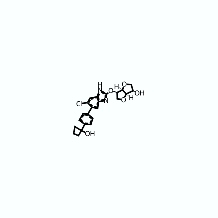 O[C@@H]1CO[C@H]2[C@@H]1OC[C@H]2Oc1nc2cc(-c3ccc(C4(O)CCC4)cc3)c(Cl)cc2[nH]1